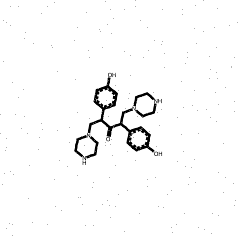 O=C(C(CN1CCNCC1)c1ccc(O)cc1)C(CN1CCNCC1)c1ccc(O)cc1